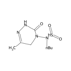 CCCCN(N1CC(C)=NNC1=O)[SH](=O)=O